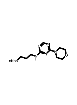 CCCCCCCCCCCCNc1ncnc(N2CCOCC2)n1